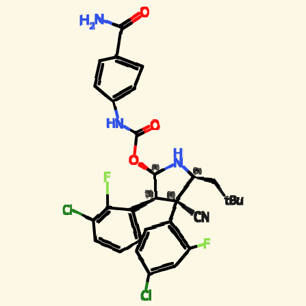 CC(C)(C)C[C@@H]1N[C@H](OC(=O)Nc2ccc(C(N)=O)cc2)[C@H](c2cccc(Cl)c2F)[C@@]1(C#N)c1ccc(Cl)cc1F